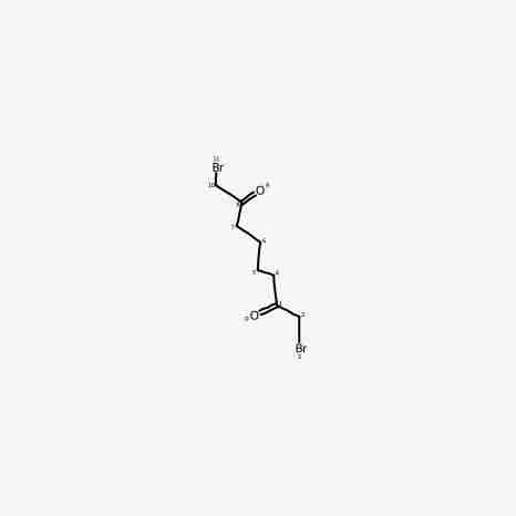 O=C(CBr)CCCCC(=O)CBr